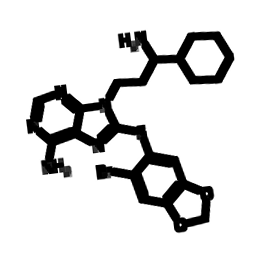 Nc1ncnc2c1nc(Sc1cc3c(cc1Br)OCO3)n2CCC(N)C1CCCCC1